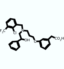 O=C(O)Cc1cccc(OCCCN(Cc2cccc(C(F)(F)F)c2Cl)CC(O)c2ccccc2)c1